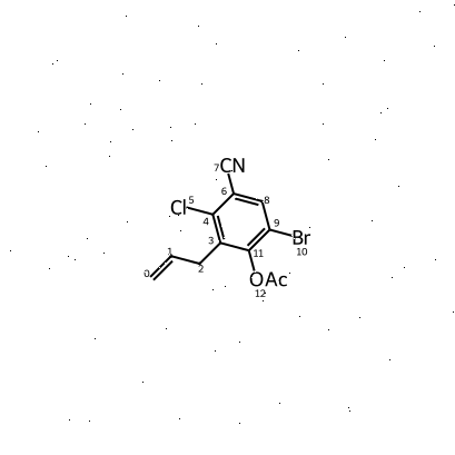 C=CCc1c(Cl)c(C#N)cc(Br)c1OC(C)=O